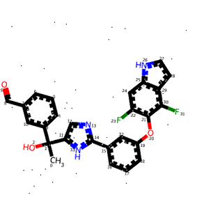 CC(O)(c1cccc(C=O)c1)c1cnc(-c2cccc(Oc3c(F)cc4[nH]ccc4c3F)c2)[nH]1